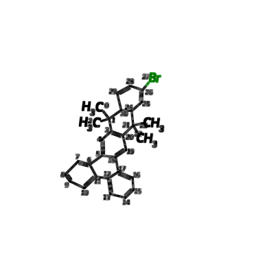 CC1(C)c2cc3c4ccccc4c4ccccc4c3cc2C(C)(C)C2C=C(Br)C=CC21